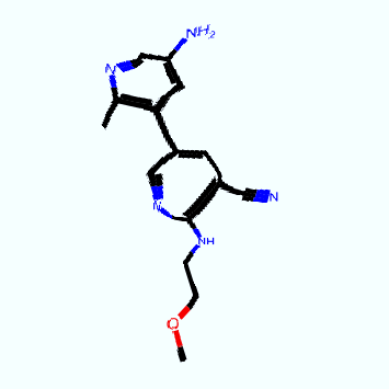 COCCNc1ncc(-c2cc(N)cnc2C)cc1C#N